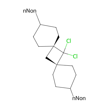 CCCCCCCCCC1CC[C@]2(CC1)C[C@@]1(CCC(CCCCCCCCC)CC1)C2(Cl)Cl